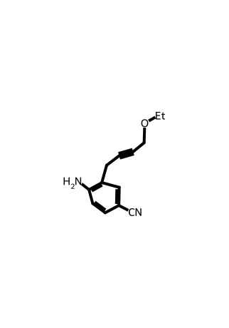 CCOCC#CCc1cc(C#N)ccc1N